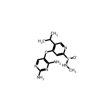 CN[S+]([O-])c1cc(Oc2cnc(N)nc2N)c(C(C)C)cn1